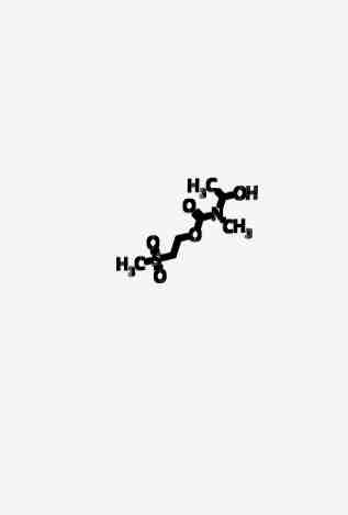 CC(O)N(C)C(=O)OCCS(C)(=O)=O